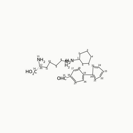 NC1CCCCC1.NCCCC[C@@H](N)C(=O)O.O=Cc1ccc(-c2ccccc2)cc1